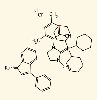 Cc1cc(C)c(N2CCN(C)C2=P(C2CCCCC2)(C2CCCCC2)C2CCCCC2)c(C)c1.[Cl-].[Cl-].[Ru+2]=[C]1C=C(c2ccccc2)c2ccccc21